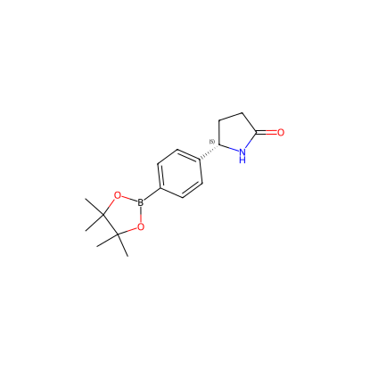 CC1(C)OB(c2ccc([C@@H]3CCC(=O)N3)cc2)OC1(C)C